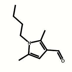 CCCCn1c(C)cc(C=O)c1C